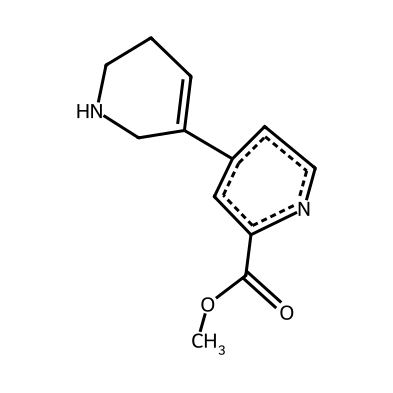 COC(=O)c1cc(C2=CCCNC2)ccn1